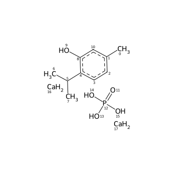 Cc1ccc(C(C)C)c(O)c1.O=P(O)(O)O.[CaH2].[CaH2]